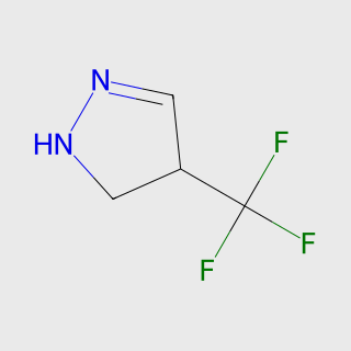 FC(F)(F)C1C=NNC1